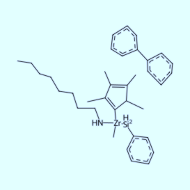 CCCCCCCC[NH][Zr]([CH3])([SiH2]c1ccccc1)[C]1=C(C)C(C)=C(C)C1C.c1ccc(-c2ccccc2)cc1